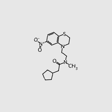 CN(CCN1CCSc2ccc([N+](=O)[O-])cc21)C(=O)CC1CCCC1